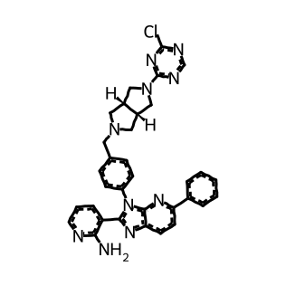 Nc1ncccc1-c1nc2ccc(-c3ccccc3)nc2n1-c1ccc(CN2C[C@@H]3CN(c4ncnc(Cl)n4)C[C@@H]3C2)cc1